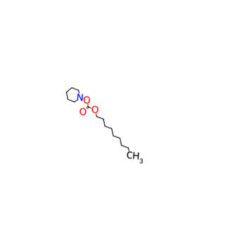 CCCCCCCCCOC(=O)ON1CCCCC1